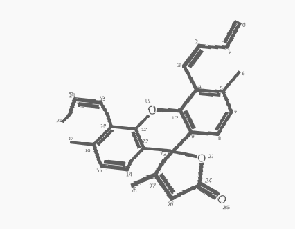 C=C/C=C\c1c(C)ccc2c1Oc1c(ccc(C)c1/C=C\C)C21OC(=O)C=C1C